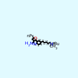 CCCc1cc2c(N)nc3ccc(CCCCCN(C)C(C)(C)C)cc3c2o1